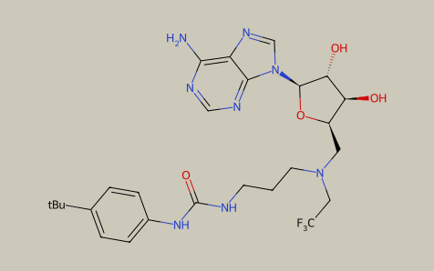 CC(C)(C)c1ccc(NC(=O)NCCCN(C[C@H]2O[C@@H](n3cnc4c(N)ncnc43)[C@H](O)[C@H]2O)CC(F)(F)F)cc1